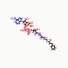 CC(C)(COP(=O)(O)OP(=O)(O)OC[C@H]1O[C@@H](n2cnc3c(N)ncnc32)[C@H](O)[C@@H]1OP(=O)(O)O)[C@@H](O)C(=O)NCCC(=O)NCCSC(=O)/C=C/c1ccccc1